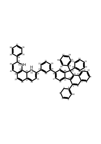 C1=CCCC(c2cc3ccccc3c3c2-c2ccc(-c4cccc(C5=CC=C6C=CC7=C(NC(c8ccccc8)C=C7)C6N5)c4)cc2C3(c2ccccc2)c2ccccc2)=C1